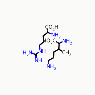 CC(CCCN)C(N)C(=O)O.N=C(N)NCCCC(N)C(=O)O